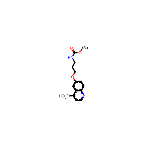 CC(C)(C)OC(=O)NCCCOc1ccc2nccc(C(=O)O)c2c1